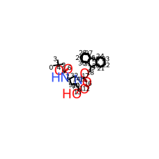 CC(C)(C)OC(=O)NC1C[C@H](C(=O)O)N(C(=O)OCC2c3ccccc3-c3ccccc32)C1